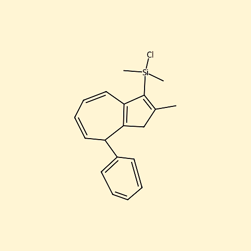 CC1=C([Si](C)(C)Cl)C2=C(C1)C(c1ccccc1)C=CC=C2